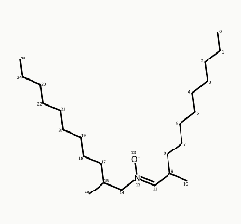 CCCCCCCCCC(C)/C=[N+](\[O-])CC(C)CCCCCCCCC